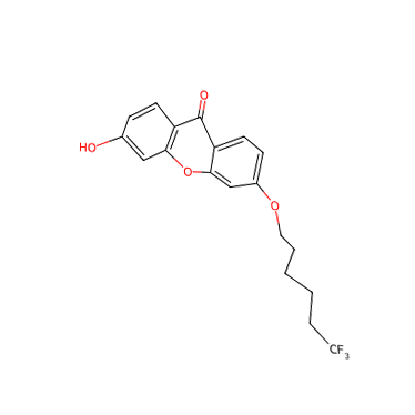 O=c1c2ccc(O)cc2oc2cc(OCCCCCC(F)(F)F)ccc12